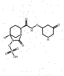 O=C1CNCC(ONC(=O)[C@@H]2CC[C@@H]3CN2C(=O)N3OS(=O)(=O)O)C1